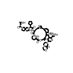 CCn1c(-c2cc(N3CCN4CCOC[C@@H]4C3)cnc2[C@H](C)OC)c2c3cc(ccc31)-c1csc(n1)C[C@H](NC(=O)C(C1CCCC1)N1CC[C@]3(CCN(C(=O)[C@H]4CN4)C3)C1)C(=O)N1CCC[C@H](N1)C(=O)OCC(C)(C)C2